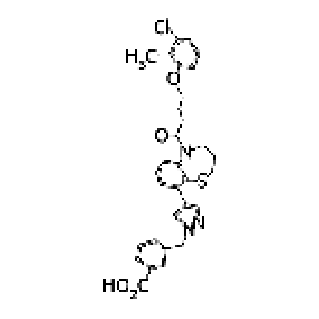 Cc1c(Cl)cccc1OCCCC(=O)N1CCCSc2c(-c3cnn(Cc4cccc(C(=O)O)c4)c3)cccc21